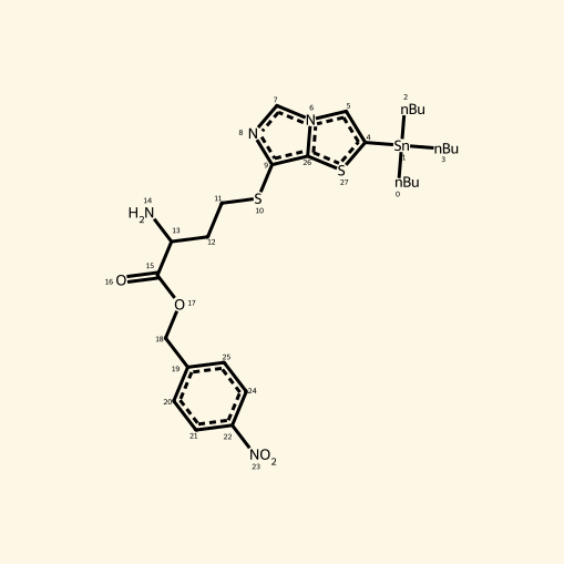 CCC[CH2][Sn]([CH2]CCC)([CH2]CCC)[c]1cn2cnc(SCCC(N)C(=O)OCc3ccc([N+](=O)[O-])cc3)c2s1